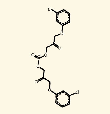 O=C(COc1cccc(Cl)c1)CO[PH](=O)OCC(=O)COc1cccc(Cl)c1